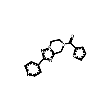 O=C(c1cccs1)N1CCn2nc(-c3ccncc3)nc2C1